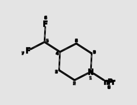 CCCN1CCC(C(F)F)CC1